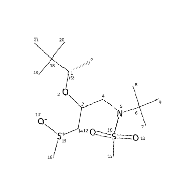 C[C@H](OC(CN(C(C)(C)C)S(C)(=O)=O)C[S+](C)[O-])C(C)(C)C